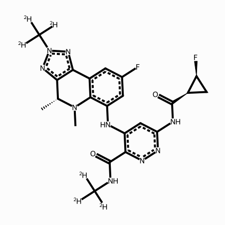 [2H]C([2H])([2H])NC(=O)c1nnc(NC(=O)[C@@H]2C[C@@H]2F)cc1Nc1cc(F)cc2c1N(C)[C@H](C)c1nn(C([2H])([2H])[2H])nc1-2